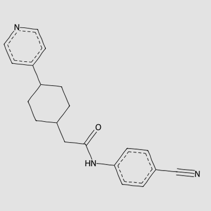 N#Cc1ccc(NC(=O)CC2CCC(c3ccncc3)CC2)cc1